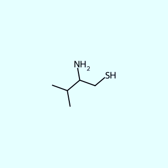 CC(C)C(N)CS